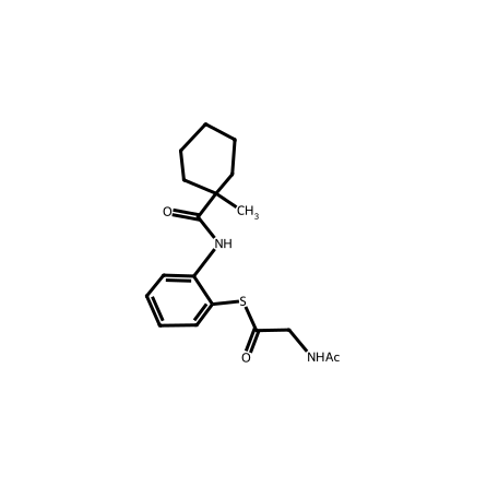 CC(=O)NCC(=O)Sc1ccccc1NC(=O)C1(C)CCCCC1